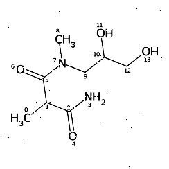 C[C](C(N)=O)C(=O)N(C)CC(O)CO